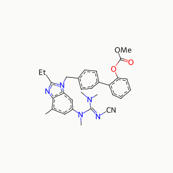 CCc1nc2c(C)cc(N(C)C(=NC#N)N(C)C)cc2n1Cc1ccc(-c2ccccc2OC(=O)OC)cc1